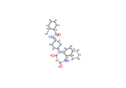 O=C1CC(=O)N(c2ccc(NC(=O)c3ccccc3I)cc2)c2ccc3c(c2N1)CCCC3